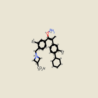 CCc1cc(/C(ON)=C(/C)c2ccc(C3CCCCC3)c(CC)c2)ccc1CN1CC(C(=O)O)C1